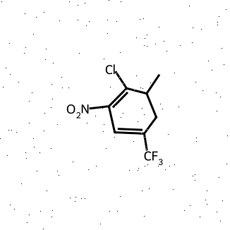 CC1CC(C(F)(F)F)=CC([N+](=O)[O-])=C1Cl